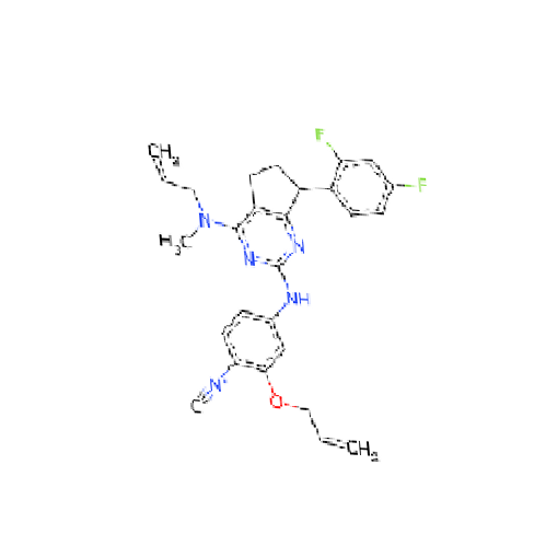 [C-]#[N+]c1ccc(Nc2nc3c(c(N(C)CC=C)n2)CCC3c2ccc(F)cc2F)cc1OCC=C